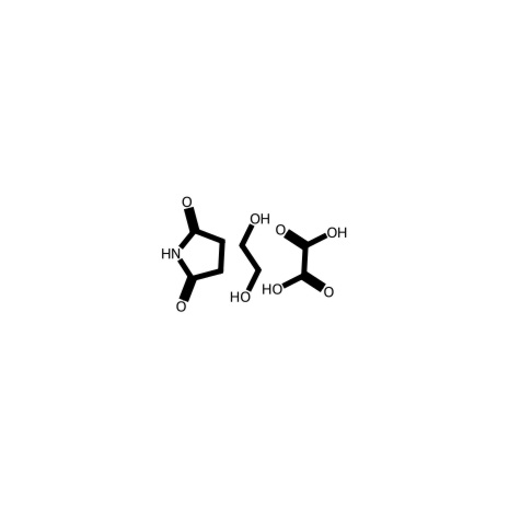 O=C(O)C(=O)O.O=C1CCC(=O)N1.OCCO